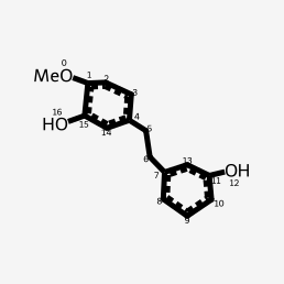 COc1ccc(CCc2cccc(O)c2)cc1O